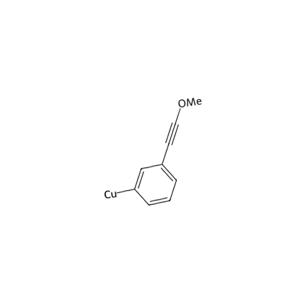 COC#Cc1ccc[c]([Cu])c1